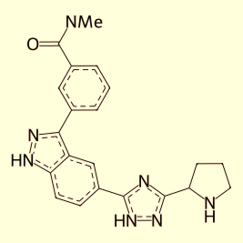 CNC(=O)c1cccc(-c2n[nH]c3ccc(-c4nc(C5CCCN5)n[nH]4)cc23)c1